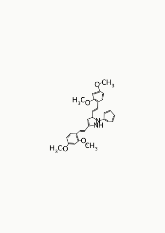 COc1ccc(C=CC2=CC(C=Cc3ccc(OC)cc3OC)N(c3ccccc3)N2)c(OC)c1